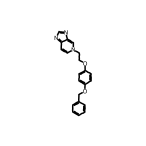 c1ccc(COc2ccc(OCCn3ccc4ncnc-4c3)cc2)cc1